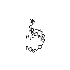 Cc1cc(C=CC(=O)N2CCN(Cc3ccc(CCOc4ccc(F)cc4)cc3)CC2)cc(C)c1Oc1ccc(OCc2cncs2)cn1.Cl